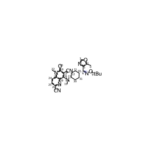 Cc1ocnc1/C(=N\OC(C)(C)C)[C@H]1CC[C@@H](N(C)c2c(C#N)c(=O)n(C)c3ccc(C#N)nc23)CC1